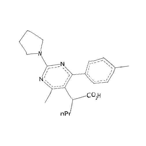 CCCC(C(=O)O)c1c(C)nc(N2CCCC2)nc1-c1ccc(C)cc1